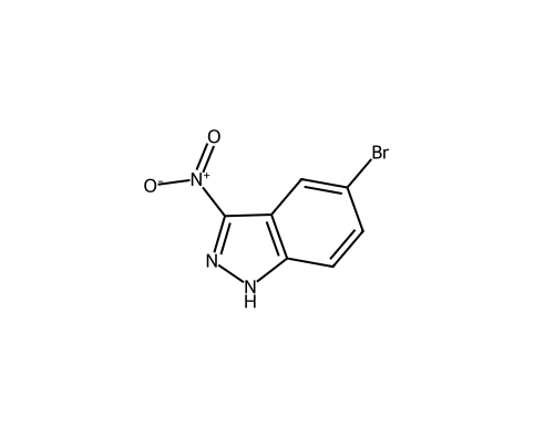 O=[N+]([O-])c1n[nH]c2ccc(Br)cc12